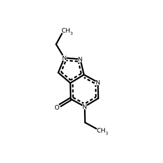 CCn1cc2c(=O)n(CC)cnc2n1